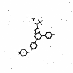 CC(C)(C)C(NC(=O)O)c1cc2cc(-c3ccc(OC4CCC(F)(F)CC4)cc3)cc(-c3ccc(F)cc3)c2o1